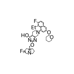 CCc1c(F)ccc2cc(OC3CCCCO3)cc(N3CCc4c(O)nc(OC[C@@]56CCCN5C[C@H](F)C6)nc4C3)c12